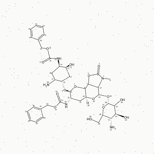 CN1C(=O)OC2C3O[C@H](O[C@H]4C[C@H](O)[C@H](NC(=O)OCc5ccccc5)CC4N)[C@@H](NC(=O)OCc4ccccc4)C[C@@H]3OC(O[C@H]3OC(CO)[C@@H](N)[C@H](O)C3O)C21